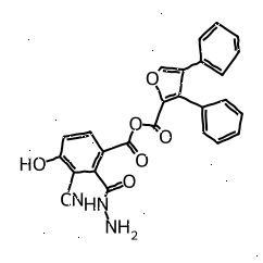 N#Cc1c(O)ccc(C(=O)OC(=O)c2occ(-c3ccccc3)c2-c2ccccc2)c1C(=O)NN